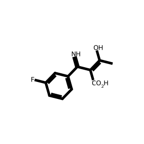 C/C(O)=C(/C(=N)c1cccc(F)c1)C(=O)O